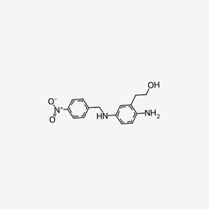 Nc1ccc(NCc2ccc([N+](=O)[O-])cc2)cc1CCO